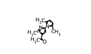 CC(=O)c1cc(-n2c(C)ccc2C)nn1C